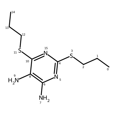 CCCSc1nc(N)c(N)c(SCCC)n1